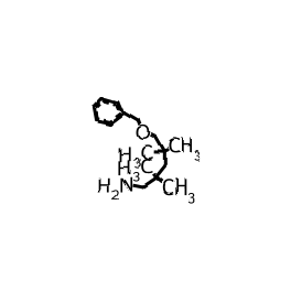 CC(C)(CN)CC(C)(C)COCc1ccccc1